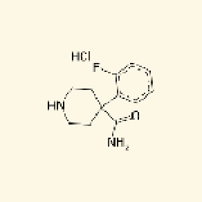 Cl.NC(=O)C1(c2ccccc2F)CCNCC1